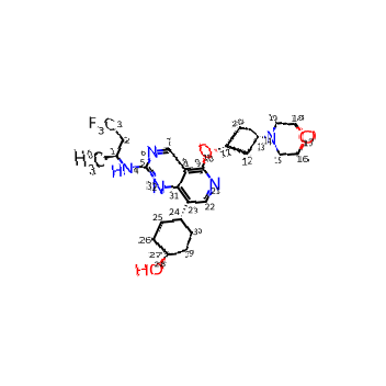 C[C@@H](CC(F)(F)F)Nc1ncc2c(O[C@H]3C[C@@H](N4CCOCC4)C3)ncc([C@H]3CC[C@H](O)CC3)c2n1